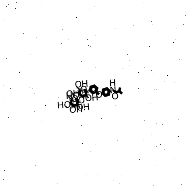 CC(C)C(=O)Nc1ccc(Oc2cccc([C@H]3O[C@H](CO)[C@@H](O)[C@H](O[C@H]4O[C@H](CO)[C@@H](O)[C@H](O)[C@@H]4O)[C@@H]3O)c2)cc1